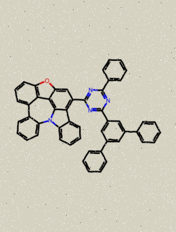 c1ccc(-c2cc(-c3ccccc3)cc(-c3nc(-c4ccccc4)nc(-c4cc5oc6cccc7c8ccccc8n8c9ccccc9c4c8c5c67)n3)c2)cc1